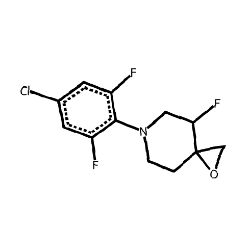 Fc1cc(Cl)cc(F)c1N1CCC2(CO2)C(F)C1